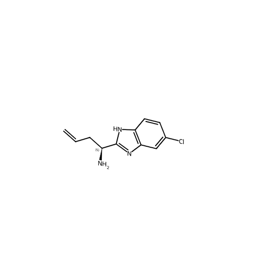 C=CC[C@H](N)c1nc2cc(Cl)ccc2[nH]1